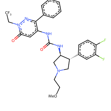 COCCN1C[C@@H](NC(=O)Nc2cc(=O)n(CC(F)(F)F)nc2-c2ccccc2)[C@H](c2ccc(F)c(F)c2)C1